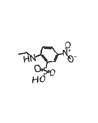 CCNc1ccc([N+](=O)[O-])cc1S(=O)(=O)O